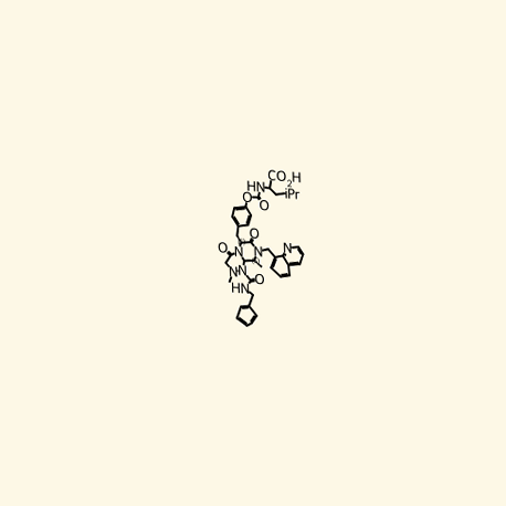 CC(C)CC(NC(=O)Oc1ccc(C[C@H]2C(=O)N(Cc3cccc4cccnc34)[C@@H](C)C3N2C(=O)CN(C)N3C(=O)NCc2ccccc2)cc1)C(=O)O